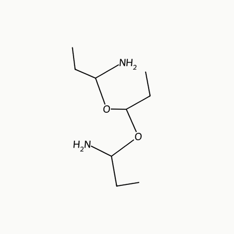 CCC(N)OC(CC)OC(N)CC